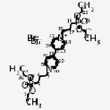 CCOP(=O)(CCC[n+]1ccc(-c2cc[n+](CCCP(=O)(OCC)OCC)cc2)cc1)OCC.[Br-].[Br-]